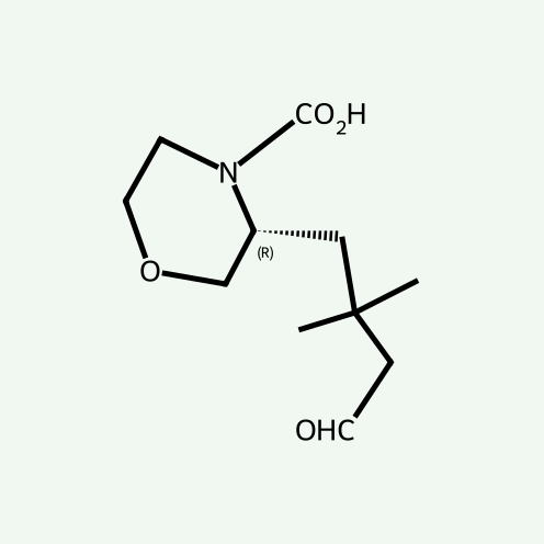 CC(C)(CC=O)C[C@@H]1COCCN1C(=O)O